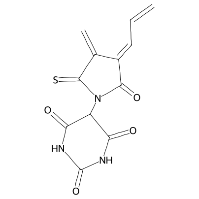 C=C/C=C1\C(=C)C(=S)N(C2C(=O)NC(=O)NC2=O)C1=O